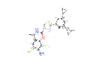 C[C@@H](NC(=O)c1csc(-c2cc(C3CC3)cc(C3CC3)c2)n1)c1cc(F)c(N)c(F)c1